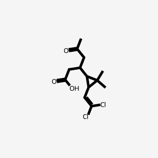 CC(=O)CC(CC(=O)O)C1C(C=C(Cl)Cl)C1(C)C